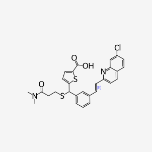 CN(C)C(=O)CCSC(c1cccc(/C=C/c2ccc3ccc(Cl)cc3n2)c1)c1ccc(C(=O)O)s1